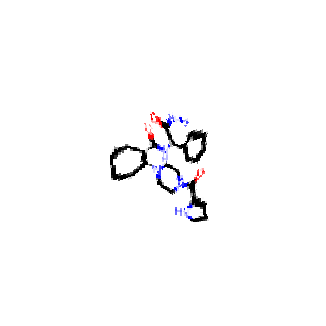 NC(=O)[C@@H](NC(=O)[C@@H]1CCCC[C@H]1N1CCN(C(=O)c2ccc[nH]2)CC1)c1ccccc1